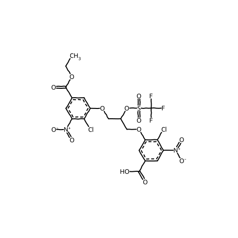 CCOC(=O)c1cc(OCC(COc2cc(C(=O)O)cc([N+](=O)[O-])c2Cl)OS(=O)(=O)C(F)(F)F)c(Cl)c([N+](=O)[O-])c1